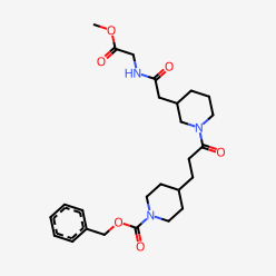 COC(=O)CNC(=O)CC1CCCN(C(=O)CCC2CCN(C(=O)OCc3ccccc3)CC2)C1